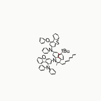 C=C/C=C/C=C/C=C\C(=C(/C)N(c1cccc(N(c2ccccc2)c2cc(Oc3ccccc3)c3c(c2)sc2ccccc23)c1)c1cc(N(c2ccccc2)c2ccccc2)c2c(c1)oc1ccccc12)c1ccc(C(C)(C)C)cc1